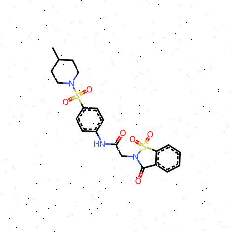 CC1CCN(S(=O)(=O)c2ccc(NC(=O)CN3C(=O)c4ccccc4S3(=O)=O)cc2)CC1